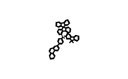 CC1(C)c2ccccc2-c2ccc(N(c3ccc(-c4ccc5c(ccc6ccccc65)c4)cc3)c3cccc4c3-c3ccccc3C43c4ccccc4-c4ccccc43)cc21